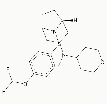 CN(C1CCOCC1)C1CC2CC[C@H](C1)N2Sc1ccc(OC(F)F)cc1